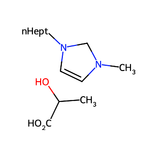 CC(O)C(=O)O.CCCCCCCN1C=CN(C)C1